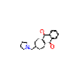 O=C1C2=C(CCC(CN3CCCC3)CC2)C(=O)c2ccccc21